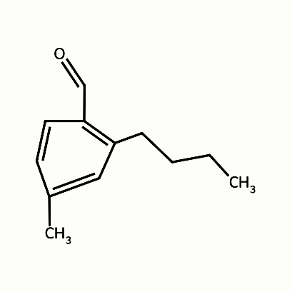 CCCCc1cc(C)ccc1C=O